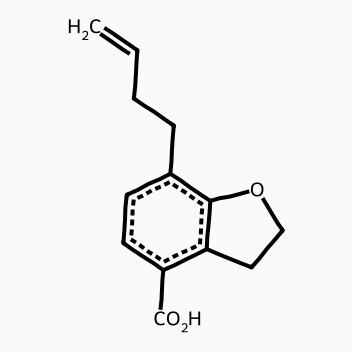 C=CCCc1ccc(C(=O)O)c2c1OCC2